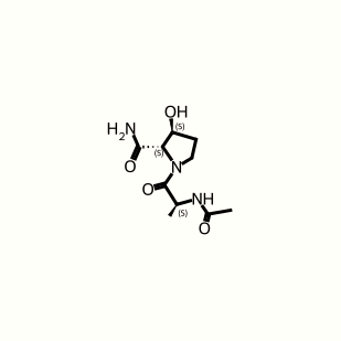 CC(=O)N[C@@H](C)C(=O)N1CC[C@H](O)[C@H]1C(N)=O